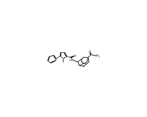 Cn1c(C(=O)NC2C3CC4CC2CC(C(N)=O)(C4)C3)ccc1-c1ccccc1